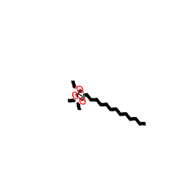 CCCCCCCCCCCCC[Si](OCC)(OCC)OCC